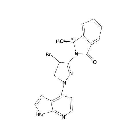 O=C1c2ccccc2[C@H](O)N1C1=NN(c2ccnc3[nH]ccc23)CC1Br